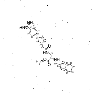 COC(=O)[C@H](CNC(=O)CC1CC(c2ccc(C(=N)N)cc2)=NO1)NCc1nc2ccccc2o1